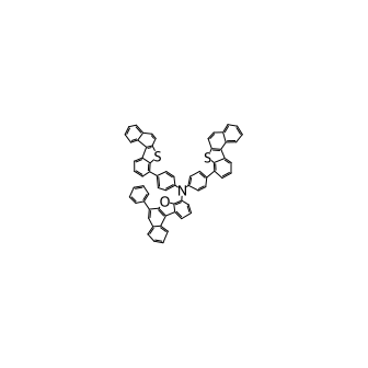 c1ccc(-c2cc3ccccc3c3c2oc2c(N(c4ccc(-c5cccc6c5sc5ccc7ccccc7c56)cc4)c4ccc(-c5cccc6c5sc5ccc7ccccc7c56)cc4)cccc23)cc1